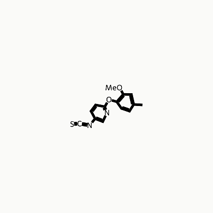 COc1cc(C)ccc1Oc1ccc(N=C=S)cn1